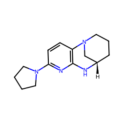 c1cc2c(nc1N1CCCC1)N[C@H]1CCCN2C1